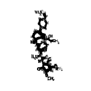 C=CC(O)Nc1cc(N2CCN(CC)CC2)ccc1Nc1cc(N(C)C(=O)Nc2c(Cl)c(OC)cc(OC)c2Cl)ncn1